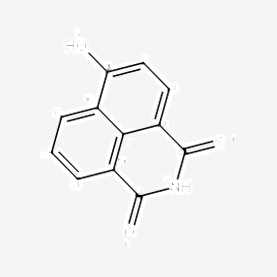 O=C1NC(=O)c2ccc(O)c3cccc1c23